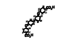 O=C(O)c1ccc(Oc2ccc(-c3cccc(Oc4ccc(C(=O)O)cc4)c3)cc2)cc1